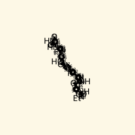 CCN(C)S(=O)(=O)Nc1cccc(C(=O)c2c[nH]c3ncc(-c4ccc(N5CCN(C(=O)CC6(O)CCN(c7nccc(NC8CCC(=O)NC8=O)c7F)CC6)CC5)nc4)cc23)c1F